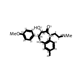 CNCCN1C(=O)[C@@H](O)[C@@H](c2ccc(OC)cc2)Sc2cc(C)ccc21